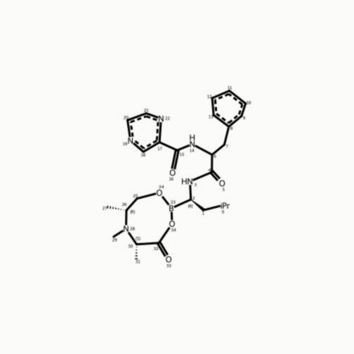 CC(C)C[C@H](NC(=O)C(Cc1ccccc1)NC(=O)c1cnccn1)B1OC[C@@H](C)N(C)[C@@H](C)C(=O)O1